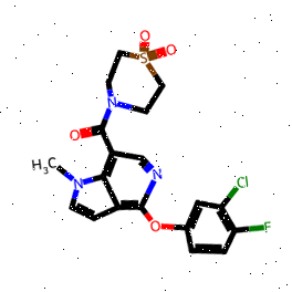 Cn1ccc2c(Oc3ccc(F)c(Cl)c3)ncc(C(=O)N3CCS(=O)(=O)CC3)c21